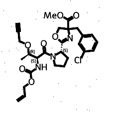 C#CCO[C@H](C)[C@H](NC(=O)OCC=C)C(=O)N1CCC[C@H]1C1=NC(Cc2cccc(Cl)c2)(C(=O)OC)CO1